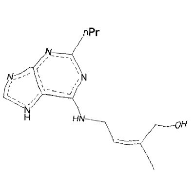 CCCc1nc(NCC=C(C)CO)c2[nH]cnc2n1